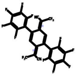 N#C/C(=c1/cc(-c2c(F)c(F)c(F)c(F)c2F)/c(=C(\C#N)C(F)(F)F)cc1-c1c(F)c(F)c(F)c(F)c1F)C(F)(F)F